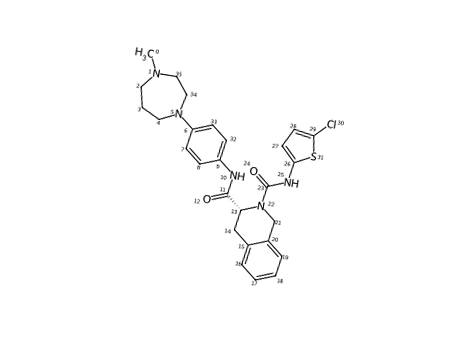 CN1CCCN(c2ccc(NC(=O)[C@H]3Cc4ccccc4CN3C(=O)Nc3ccc(Cl)s3)cc2)CC1